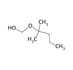 CCCC(C)(C)OCO